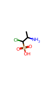 CC(N)C(Cl)S(=O)(=O)O